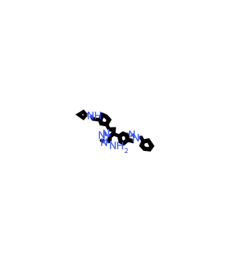 Nc1ncnn2c(-c3cccc(CNC4CCC4)c3)cc(-c3ccc4cn(Cc5ccccc5)nc4c3)c12